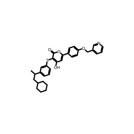 CC(CC1CCCCC1)c1cccc(Sc2c(O)cc(-c3ccc(OCc4cccnc4)cc3)oc2=O)c1